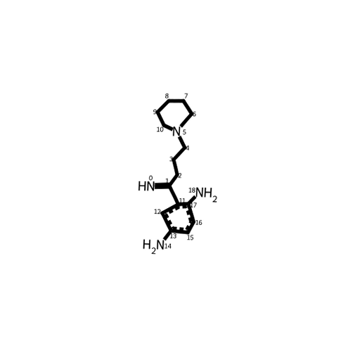 N=C(CCCN1CCCCC1)c1cc(N)ccc1N